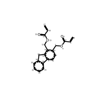 C=CC(=O)OCc1ccc2c(c1COC(=O)C=C)Cc1ccccc1-2